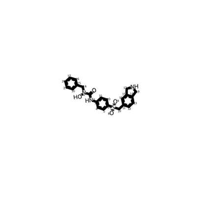 O=C(Nc1ccc(S(=O)(=O)Cc2ccc3c(c2)CNC3)cc1)N(O)Cc1ccccc1